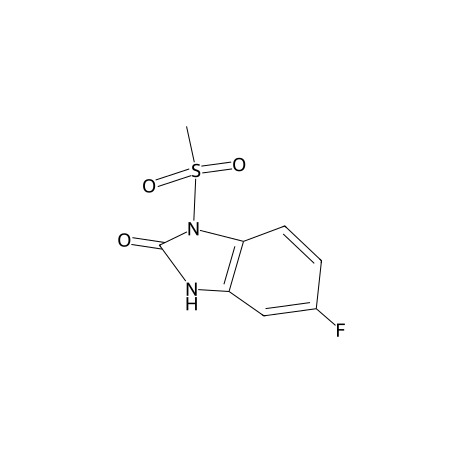 CS(=O)(=O)n1c(=O)[nH]c2cc(F)ccc21